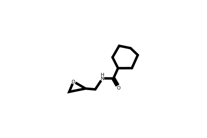 O=C(NCC1CO1)C1CCCCC1